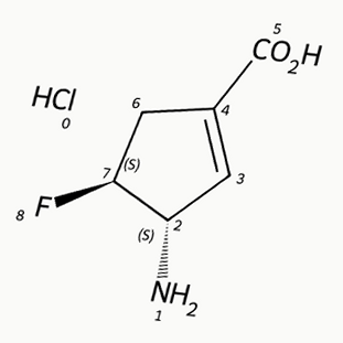 Cl.N[C@H]1C=C(C(=O)O)C[C@@H]1F